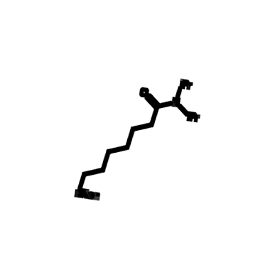 CCCCCCCCCCCCCCCC(=O)N(C(C)C)C(C)C